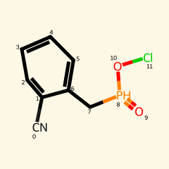 N#Cc1ccccc1C[PH](=O)OCl